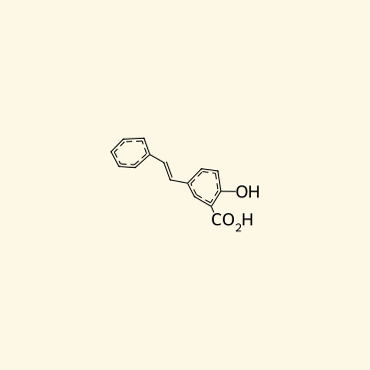 O=C(O)c1cc(C=Cc2ccccc2)ccc1O